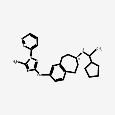 CC(N[C@H]1CCc2ccc(Nc3nc(N)n(-c4cccnn4)n3)cc2CC1)C1CCCC1